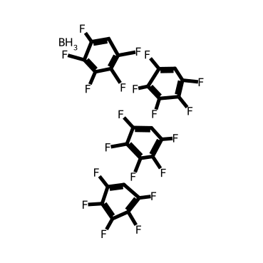 B.Fc1cc(F)c(F)c(F)c1F.Fc1cc(F)c(F)c(F)c1F.Fc1cc(F)c(F)c(F)c1F.Fc1cc(F)c(F)c(F)c1F